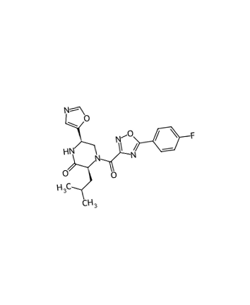 CC(C)C[C@H]1C(=O)N[C@@H](c2cnco2)CN1C(=O)c1noc(-c2ccc(F)cc2)n1